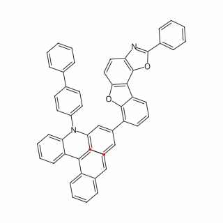 c1ccc(-c2ccc(N(c3cccc(-c4cccc5c4oc4ccc6nc(-c7ccccc7)oc6c45)c3)c3ccccc3-c3cccc4ccccc34)cc2)cc1